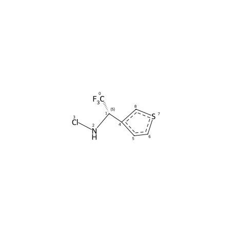 FC(F)(F)[C@@H](NCl)c1ccsc1